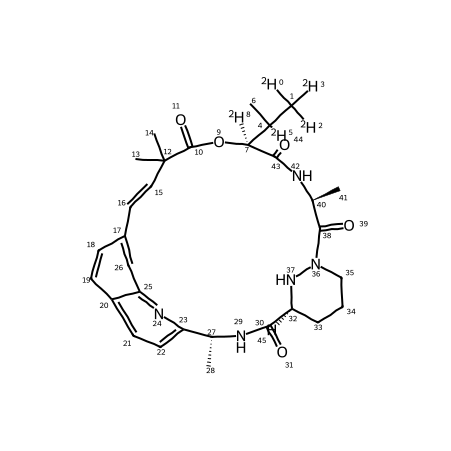 [2H]C([2H])([2H])C([2H])(C)[C@]1([2H])OC(=O)C(C)(C)/C=C/c2ccc3ccc(nc3c2)[C@@H](C)NC(=O)[C@@H]2CCCN(N2)C(=O)[C@H](C)NC1=O